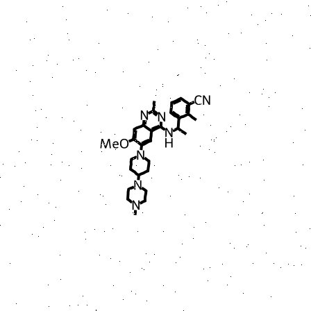 COc1cc2nc(C)nc(NC(C)c3cccc(C#N)c3C)c2cc1N1CCC(N2CCN(C)CC2)CC1